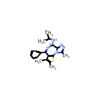 Cc1sc2c(c1C)C(c1ccccc1)=N[C@@H](NC(C)C)c1nnc(C)n1-2